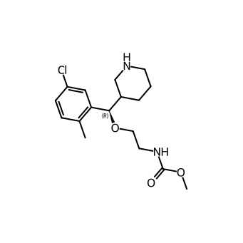 COC(=O)NCCO[C@@H](c1cc(Cl)ccc1C)C1CCCNC1